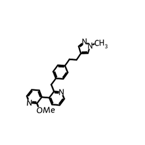 COc1ncccc1-c1cccnc1Cc1ccc(CCc2cnn(C)c2)cc1